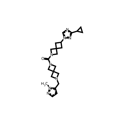 Cn1nccc1CN1CC2(C1)CN(C(=O)N1CC3(CC(n4cnc(C5CC5)n4)C3)C1)C2